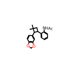 CC(=O)Nc1ccccc1C1CC(C)(C)C1c1ccc2c(c1)OCO2